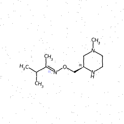 C/C(=N\OC[C@H]1CN(C)CCN1)C(C)C